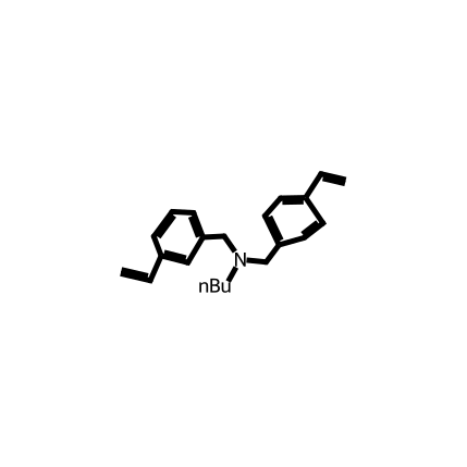 C=Cc1ccc(CN(CCCC)Cc2cccc(C=C)c2)cc1